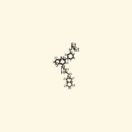 CCN(CC)Cc1cccc(-c2cc(NCCCN3CC4CCCC4C3)c3sccc3n2)c1